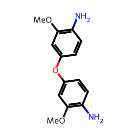 COc1cc(Oc2ccc(N)c(OC)c2)ccc1N